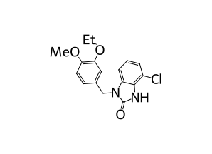 CCOc1cc(Cn2c(=O)[nH]c3c(Cl)cccc32)ccc1OC